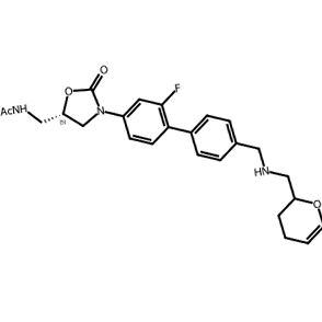 CC(=O)NC[C@H]1CN(c2ccc(-c3ccc(CNCC4CCC=CO4)cc3)c(F)c2)C(=O)O1